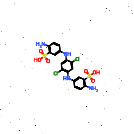 Nc1ccc(Nc2cc(Cl)c(Nc3ccc(N)c(S(=O)(=O)O)c3)cc2Cl)cc1S(=O)(=O)O